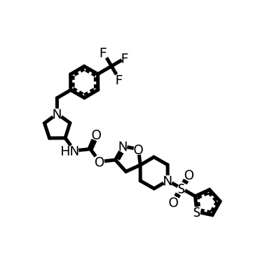 O=C(NC1CCN(Cc2ccc(C(F)(F)F)cc2)C1)OC1=NOC2(CCN(S(=O)(=O)c3cccs3)CC2)C1